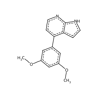 COc1cc(OC)cc(-c2ccnc3[nH]ccc23)c1